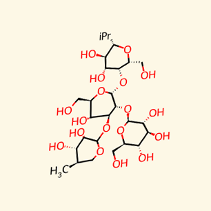 CC(C)[C@@H]1O[C@H](CO)[C@H](O[C@H]2O[C@H](CO)[C@@H](O)[C@H](OC3OC[C@@H](C)[C@H](O)[C@H]3O)[C@H]2O[C@@H]2O[C@H](CO)[C@@H](O)[C@H](O)[C@H]2O)[C@H](O)[C@H]1O